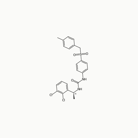 Cc1ccc(CS(=O)(=O)c2ccc(NC(=O)N[C@@H](C)c3cccc(Cl)c3Cl)cc2)cc1